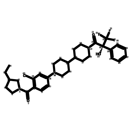 CCC1CCN(C(=O)c2ccc(N3CCC(C4CCN(C(=O)[C@](O)(c5ccccc5)C(F)(F)F)CC4)CC3)cc2Cl)C1